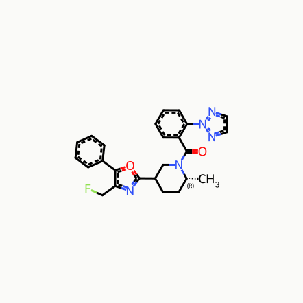 C[C@@H]1CCC(c2nc(CF)c(-c3ccccc3)o2)CN1C(=O)c1ccccc1-n1nccn1